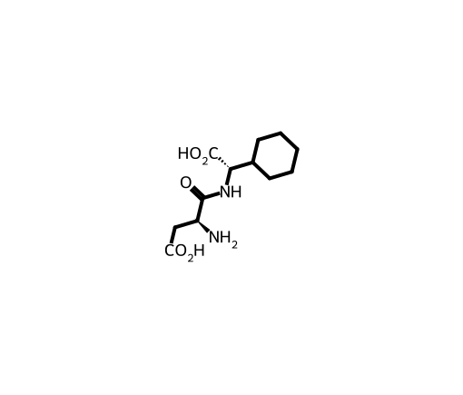 N[C@@H](CC(=O)O)C(=O)N[C@H](C(=O)O)C1CCCCC1